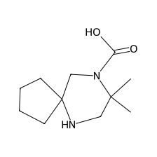 CC1(C)CNC2(CCCC2)CN1C(=O)O